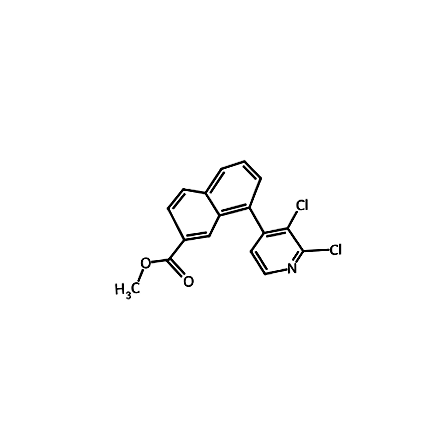 COC(=O)c1ccc2cccc(-c3ccnc(Cl)c3Cl)c2c1